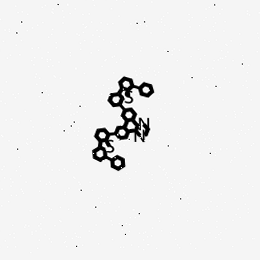 c1ccc(-c2cccc3c2sc2c(-c4ccc5c(c4)c4cc(-c6cccc7c6sc6c(-c8ccccc8)cccc67)ccc4c4nccnc54)cccc23)cc1